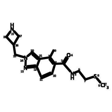 Cc1c(C(=O)NCCSC(F)(F)F)ccc2nn(CC3CNC3)cc12